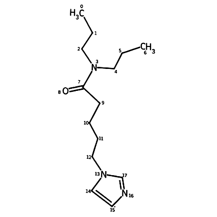 CCCN(CCC)C(=O)CCCCn1c[c]nc1